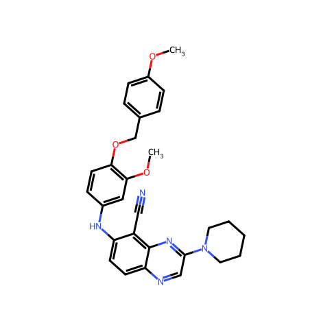 COc1ccc(COc2ccc(Nc3ccc4ncc(N5CCCCC5)nc4c3C#N)cc2OC)cc1